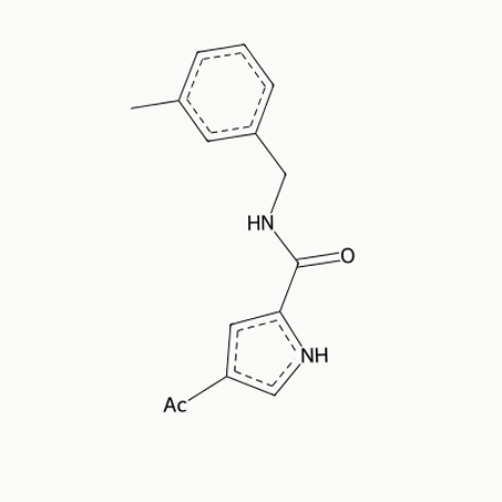 CC(=O)c1c[nH]c(C(=O)NCc2cccc(C)c2)c1